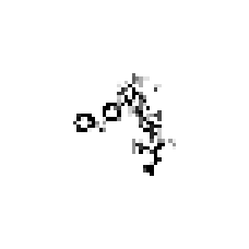 N#C/C(=C\C1CC1)C(=O)N1C[C@@H]2C1CN2c1ncc(C(N)=O)c(Oc2ccc(Oc3ccccc3)cc2)n1